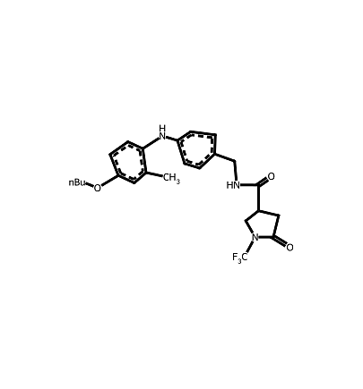 CCCCOc1ccc(Nc2ccc(CNC(=O)C3CC(=O)N(C(F)(F)F)C3)cc2)c(C)c1